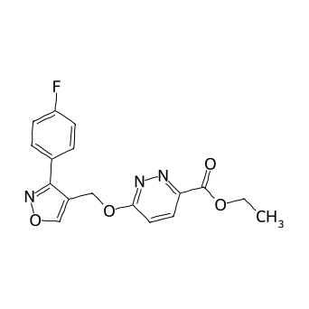 CCOC(=O)c1ccc(OCc2conc2-c2ccc(F)cc2)nn1